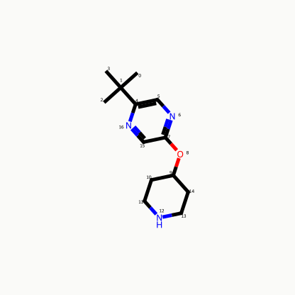 CC(C)(C)c1cnc(OC2CCNCC2)cn1